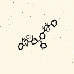 Cc1nc2ccccc2nc1-c1ccc(N(c2ccccc2)c2ccc(-c3nnc(-c4ccccc4)o3)cc2)cc1